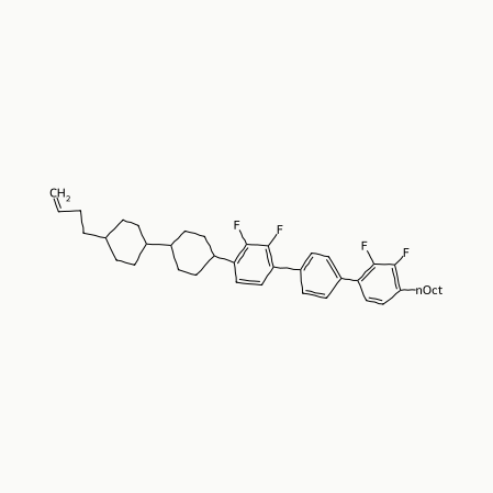 C=CCCC1CCC(C2CCC(c3ccc(-c4ccc(-c5ccc(CCCCCCCC)c(F)c5F)cc4)c(F)c3F)CC2)CC1